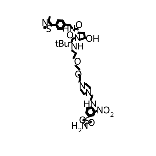 Cc1ncsc1-c1ccc(CNC(=O)[C@@H]2C[C@@H](O)CN2C(=O)[C@@H](NCCCOCCOCCN2CCN(CCNc3ccc(S(N)(=O)=O)cc3[N+](=O)[O-])CC2)C(C)(C)C)cc1